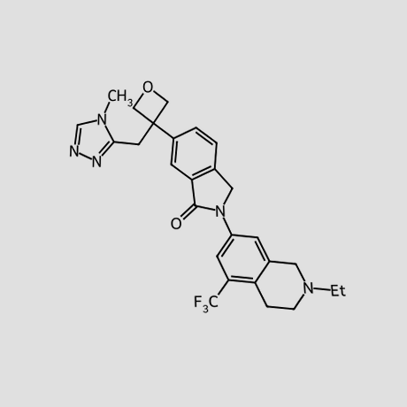 CCN1CCc2c(cc(N3Cc4ccc(C5(Cc6nncn6C)COC5)cc4C3=O)cc2C(F)(F)F)C1